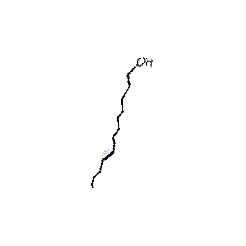 CCC/C=C/CCCCCCCO